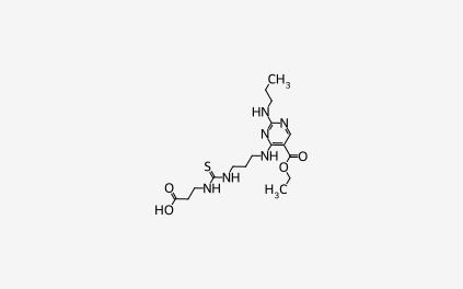 CCCNc1ncc(C(=O)OCC)c(NCCCNC(=S)NCCC(=O)O)n1